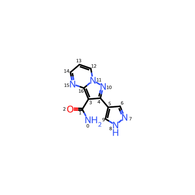 NC(=O)c1c(-c2cn[nH]c2)nn2cccnc12